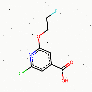 O=C(O)c1cc(Cl)nc(OCCF)c1